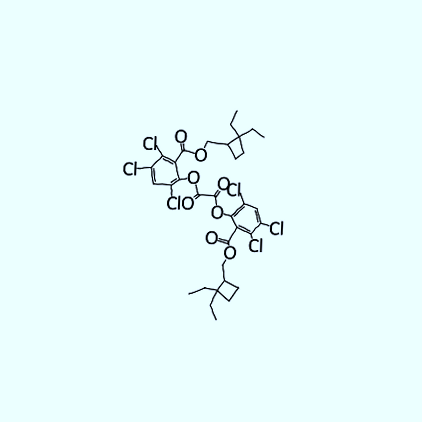 CCC1(CC)CCC1COC(=O)c1c(Cl)c(Cl)cc(Cl)c1OC(=O)C(=O)Oc1c(Cl)cc(Cl)c(Cl)c1C(=O)OCC1CCC1(CC)CC